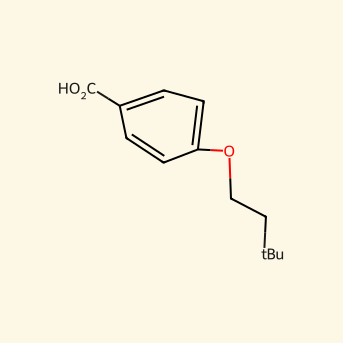 CC(C)(C)CCOc1ccc(C(=O)O)cc1